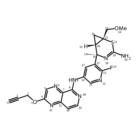 C#CCOc1cnc2c(Nc3cnc(F)c([C@]4(C)N=C(N)S[C@@]5(COC)C[C@H]54)c3)nccc2n1